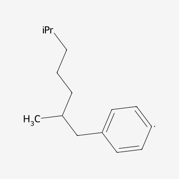 CC(C)CCCC(C)Cc1cc[c]cc1